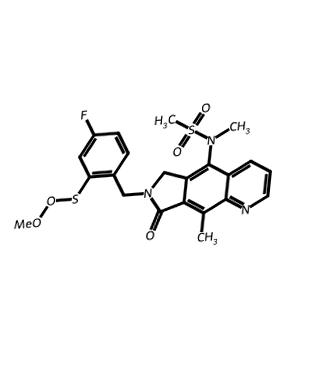 COOSc1cc(F)ccc1CN1Cc2c(c(C)c3ncccc3c2N(C)S(C)(=O)=O)C1=O